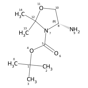 CC(C)(C)OC(=O)N1[C@@H](N)COC1(C)C